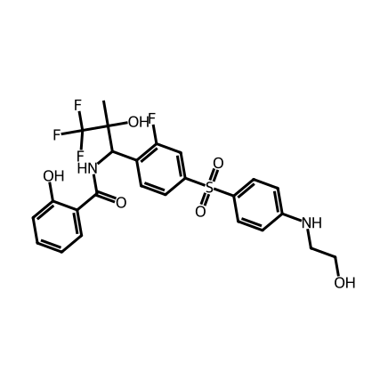 CC(O)(C(NC(=O)c1ccccc1O)c1ccc(S(=O)(=O)c2ccc(NCCO)cc2)cc1F)C(F)(F)F